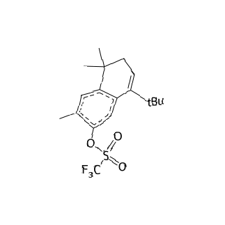 Cc1cc2c(cc1OS(=O)(=O)C(F)(F)F)C(C(C)(C)C)=CCC2(C)C